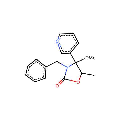 COC1(c2cccnc2)C(C)OC(=O)N1Cc1ccccc1